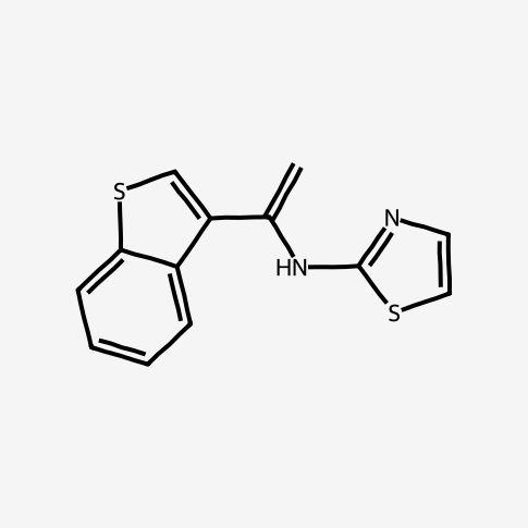 C=C(Nc1nccs1)c1csc2ccccc12